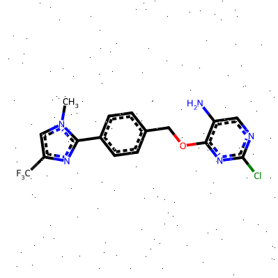 Cn1cc(C(F)(F)F)nc1-c1ccc(COc2nc(Cl)ncc2N)cc1